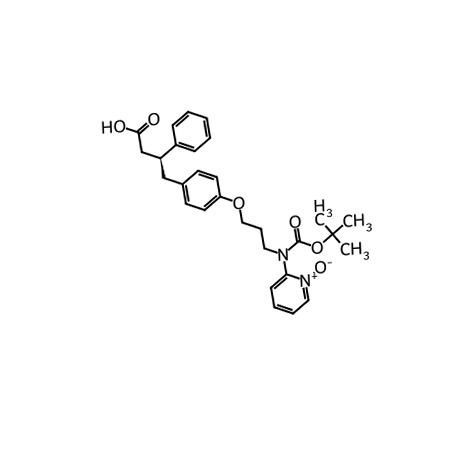 CC(C)(C)OC(=O)N(CCCOc1ccc(C[C@@H](CC(=O)O)c2ccccc2)cc1)c1cccc[n+]1[O-]